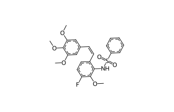 COc1cc(/C=C\c2ccc(F)c(OC)c2NS(=O)(=O)c2ccccc2)cc(OC)c1OC